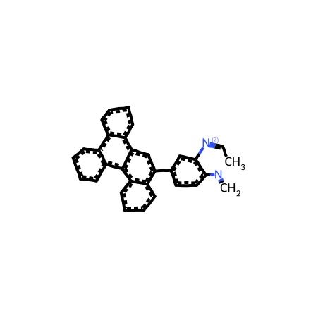 C=Nc1ccc(-c2cc3c4ccccc4c4ccccc4c3c3ccccc23)cc1/N=C\C